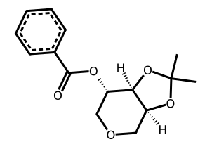 CC1(C)O[C@@H]2[C@@H](OC(=O)c3ccccc3)COC[C@@H]2O1